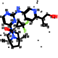 CC(CO)c1ccc(Nc2nccc(N3C[C@H]4CC[C@@H](C3)N4C(=O)[C@@H]3CC3(F)F)n2)cn1